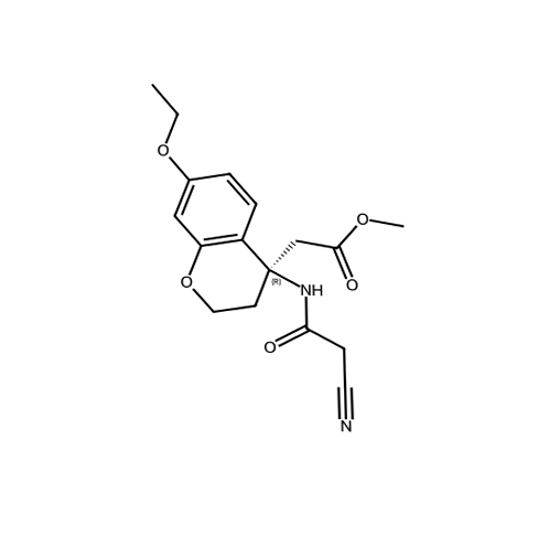 CCOc1ccc2c(c1)OCC[C@]2(CC(=O)OC)NC(=O)CC#N